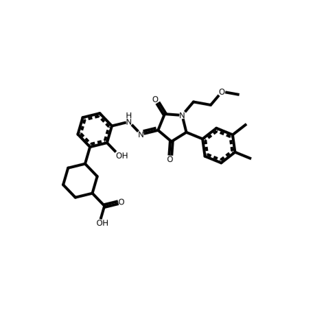 COCCN1C(=O)/C(=N\Nc2cccc(C3CCCC(C(=O)O)C3)c2O)C(=O)C1c1ccc(C)c(C)c1